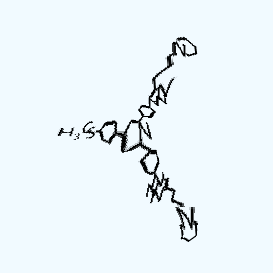 CSc1ccc(-c2cc(-c3ccc(-n4cc(CCCN5CCCCC5)nn4)cc3)nc(-c3ccc(-n4cc(CCCN5CCCCC5)nn4)cc3)c2)cc1